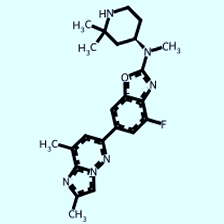 Cc1cn2nc(-c3cc(F)c4nc(N(C)[C@@H]5CCNC(C)(C)C5)oc4c3)cc(C)c2n1